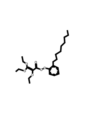 CCCCCCCCCc1ccccc1OOC(=O)C(OCC)=C(OCC)OCC